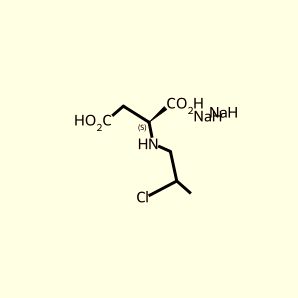 CC(Cl)CN[C@@H](CC(=O)O)C(=O)O.[NaH].[NaH]